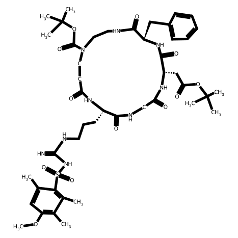 COc1cc(C)c(S(=O)(=O)NC(=N)NCCC[C@@H]2NC(=O)CCN(C(=O)OC(C)(C)C)CCNC(=O)[C@@H](Cc3ccccc3)NC(=O)[C@H](CC(=O)OC(C)(C)C)NC(=O)CNC2=O)c(C)c1C